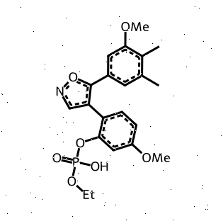 CCOP(=O)(O)Oc1cc(OC)ccc1-c1cnoc1-c1cc(C)c(C)c(OC)c1